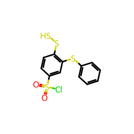 O=S(=O)(Cl)c1ccc(SS)c(Sc2ccccc2)c1